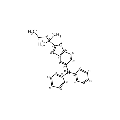 CCCC(C)(C)c1nc2cc(N(c3ccccc3)c3ccccc3)ccc2o1